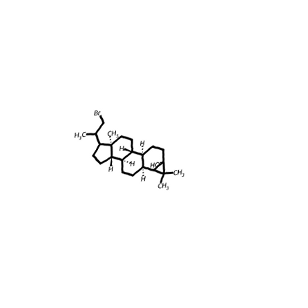 CC(CBr)C1CC[C@H]2[C@@H]3CC[C@@H]4C5C(C)(C)[C@@]5(O)CC[C@@H]4[C@H]3CC[C@]12C